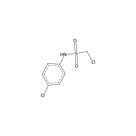 O=S(=O)(CCl)Nc1ccc(Cl)cc1